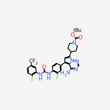 CC(C)(C)OC(=O)N1CCC(c2cc(-c3ccc(NC(=O)Nc4cc(C(F)(F)F)ccc4F)c(F)c3)c3c(N)ncnn23)CC1